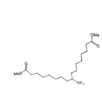 COC(=O)CCCCCCCC(C)CCCCCCCC(=O)OC